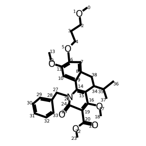 COCCCOc1cc2c(cc1OC)-c1c(c(OC)c(C(=O)OC)c(=O)n1Cc1ccccc1)C(C(C)C)C2